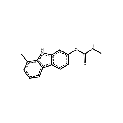 CNC(=O)Oc1ccc2c(c1)[nH]c1c(C)nccc12